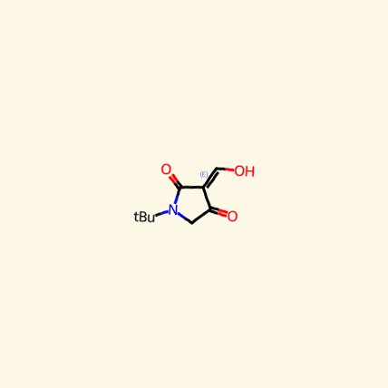 CC(C)(C)N1CC(=O)/C(=C\O)C1=O